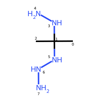 CC(C)(NN)NNN